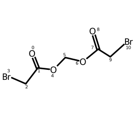 O=C(CBr)OCOC(=O)CBr